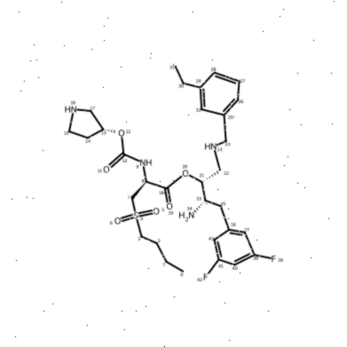 CCCCS(=O)(=O)C[C@@H](NC(=O)O[C@@H]1CCNC1)C(=O)O[C@H](CNCc1cccc(CC)c1)[C@@H](N)Cc1cc(F)cc(F)c1